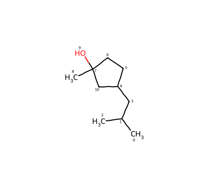 CC(C)CC1CCC(C)(O)C1